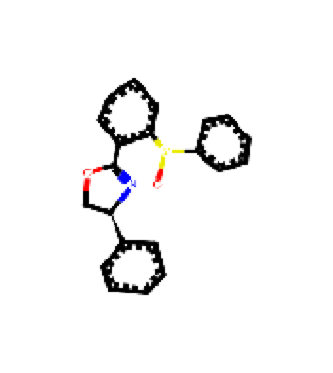 [O-][S+](c1ccccc1)c1ccccc1C1=N[C@@H](c2ccccc2)CO1